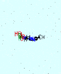 C#Cc1ccc(-n2ccc([C@H]3[C@@H]4CN(C(=O)O[C@H](CO)C(F)(F)F)C[C@@H]43)n2)cc1